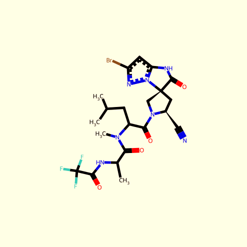 CC(C)CC(C(=O)N1C[C@]2(C[C@H]1C#N)C(=O)Nc1cc(Br)nn12)N(C)C(=O)C(C)NC(=O)C(F)(F)F